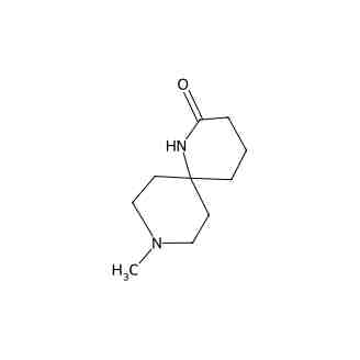 CN1CCC2(CCCC(=O)N2)CC1